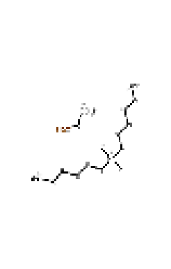 CC(C)CCCC[CH2][Sn]([CH3])([CH3])[CH2]CCCCC(C)C.O=C(O)CS